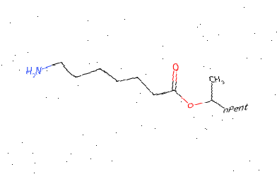 CCCCCC(C)OC(=O)CCCCCCN